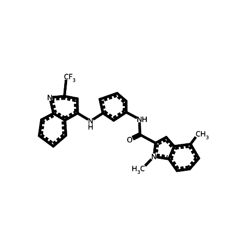 Cc1cccc2c1cc(C(=O)Nc1cccc(Nc3cc(C(F)(F)F)nc4ccccc34)c1)n2C